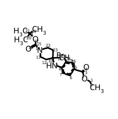 CCOC(=O)c1ccc(NC2(C)CCN(C(=O)OC(C)(C)C)CC2)c(Br)c1